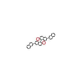 c1ccc2cc(-c3cc4ccc5oc6cc(-c7ccc8ccccc8c7)cc7ccc8oc(c3)c4c5-c8c76)ccc2c1